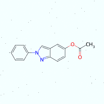 CC(=O)Oc1ccc2nn(-c3[c]c[c]cc3)cc2c1